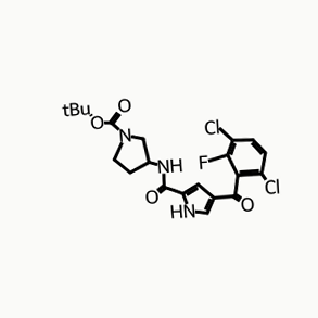 CC(C)(C)OC(=O)N1CCC(NC(=O)c2cc(C(=O)c3c(Cl)ccc(Cl)c3F)c[nH]2)C1